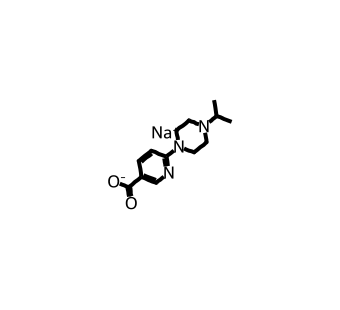 CC(C)N1CCN(c2ccc(C(=O)[O-])cn2)CC1.[Na+]